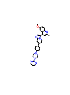 COc1ccc2nc(C)cc(-c3cnc4cc(-c5ccc(N6CCN(c7ncccn7)CC6)cc5)ccn34)c2c1